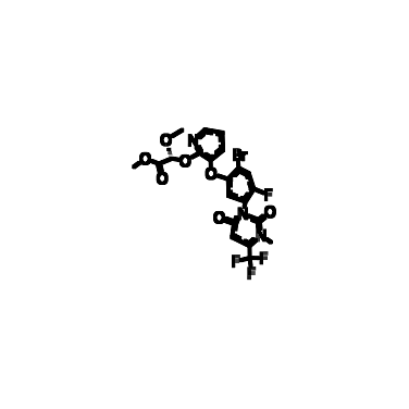 COC(=O)[C@H](OC)Oc1ncccc1Oc1cc(-n2c(=O)cc(C(F)(F)F)n(C)c2=O)c(F)cc1Br